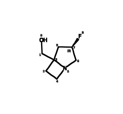 OCC12CCN1C[C@H](F)C2